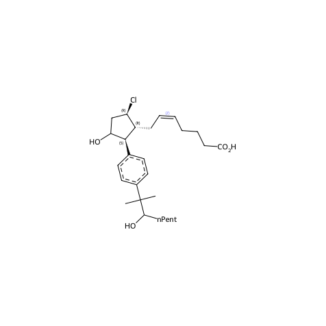 CCCCCC(O)C(C)(C)c1ccc([C@H]2C(O)C[C@@H](Cl)[C@@H]2C/C=C\CCCC(=O)O)cc1